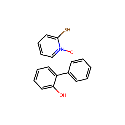 Oc1ccccc1-c1ccccc1.[O-][n+]1ccccc1S